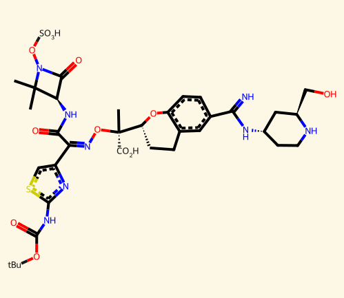 CC(C)(C)OC(=O)Nc1nc(/C(=N/O[C@](C)(C(=O)O)[C@H]2CCc3cc(C(=N)N[C@H]4CCN[C@H](CO)C4)ccc3O2)C(=O)N[C@@H]2C(=O)N(OS(=O)(=O)O)C2(C)C)cs1